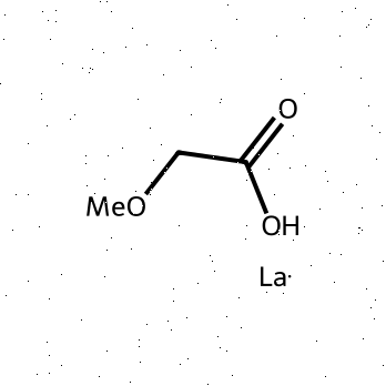 COCC(=O)O.[La]